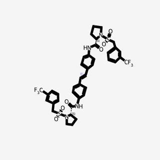 O=C(Nc1ccc(/C=C/c2ccc(NC(=O)[C@@H]3CCCN3S(=O)(=O)Cc3cccc(C(F)(F)F)c3)cc2)cc1)[C@@H]1CCCN1S(=O)(=O)Cc1cccc(C(F)(F)F)c1